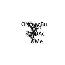 CCCCC(CC)Cn1c2ccc(N=O)cc2c2cc(/C(=N\OC(C)=O)c3ccccc3OCCOC)ccc21